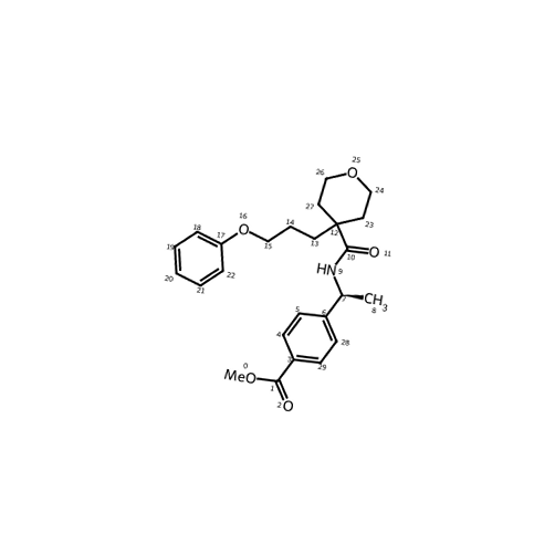 COC(=O)c1ccc([C@H](C)NC(=O)C2(CCCOc3ccccc3)CCOCC2)cc1